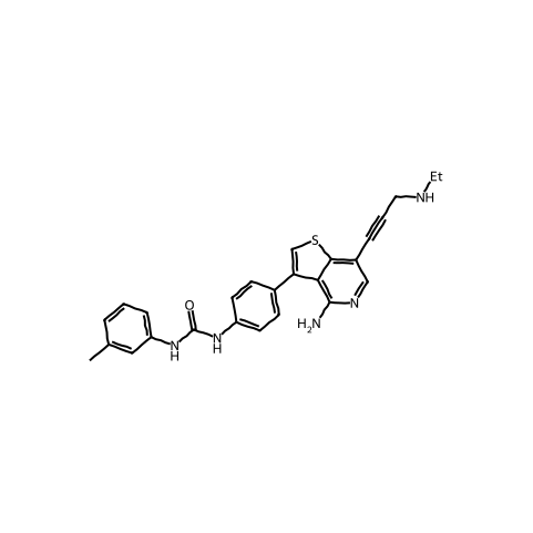 CCNCC#Cc1cnc(N)c2c(-c3ccc(NC(=O)Nc4cccc(C)c4)cc3)csc12